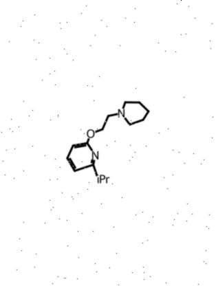 CC(C)c1cccc(OCCN2CCCCC2)n1